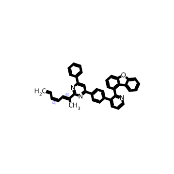 C=C/C=C\C=C(/C)c1nc(-c2ccccc2)cc(-c2ccc(-c3cccnc3-c3cccc4oc5ccccc5c34)cc2)n1